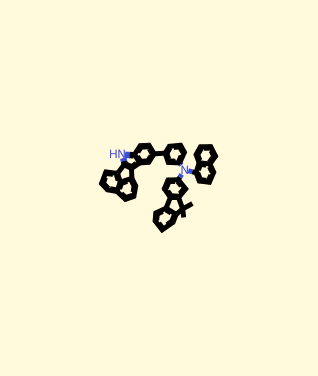 CC1(C)c2ccccc2-c2ccc(N(c3cccc(-c4ccc5[nH]c6c(c5c4)-c4cccc5cccc-6c45)c3)c3cccc4ccccc34)cc21